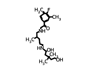 C=C1C=CC(C(=O)CNCC(C)CCCNC(O)CC(C)(C)CCO)=CC(C)=C1F